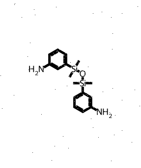 C[Si](C)(O[Si](C)(C)c1cccc(N)c1)c1cccc(N)c1